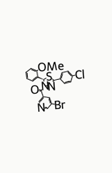 COc1ccccc1[C@H]1SC(c2ccc(Cl)cc2)=NN1C(=O)c1cncc(Br)c1